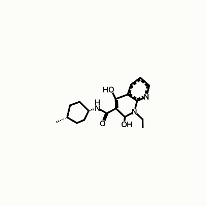 CCN1c2ncccc2C(O)=C(C(=O)N[C@H]2CC[C@@H](C)CC2)C1O